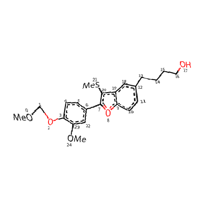 COCOc1ccc(-c2oc3ccc(CCCCO)cc3c2SC)cc1OC